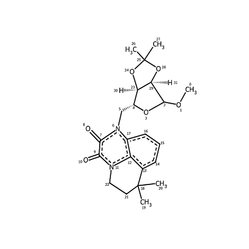 COC1O[C@H](Cn2c(=O)c(=O)n3c4c(cccc42)C(C)(C)CC3)[C@H]2OC(C)(C)O[C@@H]12